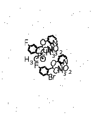 CC(Oc1cccnc1[N+](=O)[O-])c1cc(F)ccc1Br.CC(Oc1cccnc1[N+](=O)[O-])c1cc(F)ccc1P(C)(C)=O